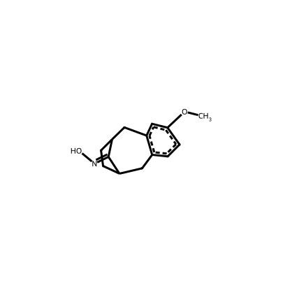 COc1ccc2c(c1)CC1CCC(C2)C1=NO